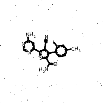 Cc1ccc(-c2c(C(N)=O)sc(-c3cc(N)ncn3)c2C#N)c(I)c1